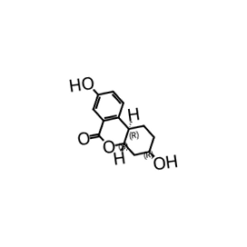 O=C1O[C@H]2C[C@H](O)CC[C@@H]2c2ccc(O)cc21